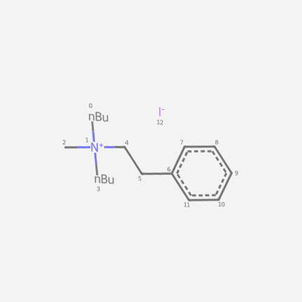 CCCC[N+](C)(CCCC)CCc1ccccc1.[I-]